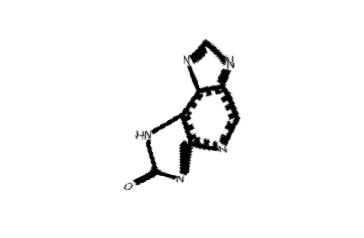 O=C1N=c2ncc3c(c2N1)N=CN=3